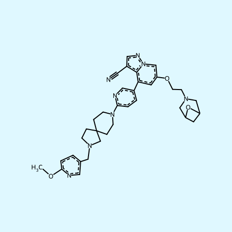 COc1ccc(CN2CCC3(CCN(c4ccc(-c5cc(OCCN6CC7CC(C6)O7)cn6ncc(C#N)c56)cn4)CC3)C2)cn1